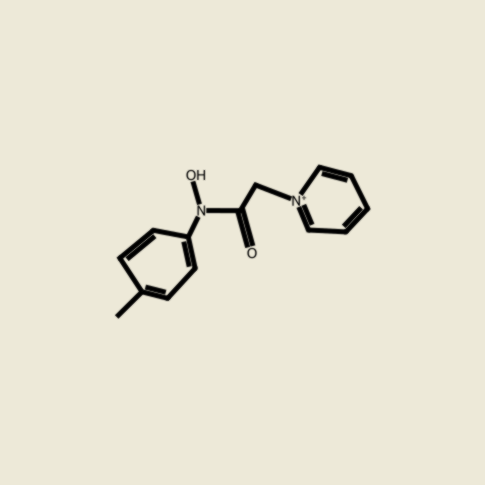 Cc1ccc(N(O)C(=O)C[n+]2ccccc2)cc1